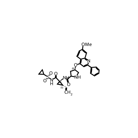 C=C[C@@H]1C[C@]1(NC(=O)C1C[C@@H](Oc2cc(-c3ccccc3)nc3cc(OC)ccc23)CN1)C(=O)NS(=O)(=O)C1CC1